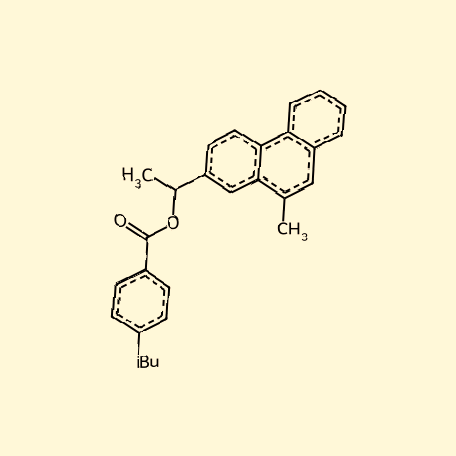 CCC(C)c1ccc(C(=O)OC(C)c2ccc3c(c2)c(C)cc2ccccc23)cc1